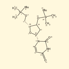 CC(C)(C)[Si](C)(C)OC[C@H]1O[C@@H](n2ccc(=O)[nH]c2=O)CC1O[Si](C)(C)C(C)(C)C